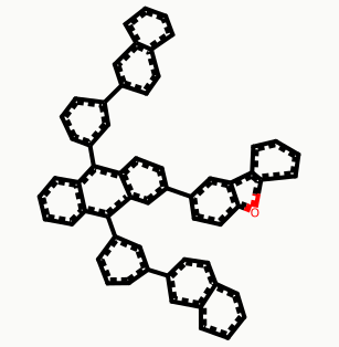 c1cc(-c2ccc3ccccc3c2)cc(-c2c3ccccc3c(-c3cccc(-c4ccc5ccccc5c4)c3)c3cc(-c4ccc5oc6ccccc6c5c4)ccc23)c1